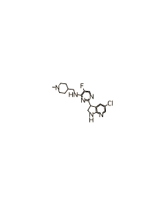 CN1CCC(CNc2nc(C3CNc4ncc(Cl)cc43)ncc2F)CC1